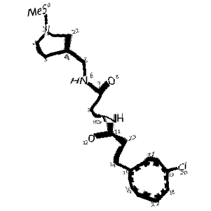 CSN1CCC(CNC(=O)CNC(=O)/C=C/c2cccc(Cl)c2)C1